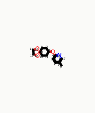 Cc1ccc(OC2CCC3(CC2)OCCO3)nc1